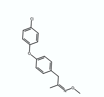 CO/N=C(/C)Cc1ccc(Oc2ccc(Cl)cc2)cc1